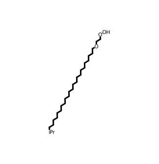 CC(C)CCCCCCCCCCCCCCCCCCCCCCCOCCOO